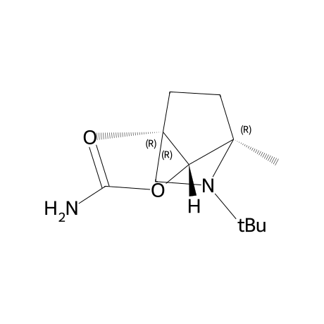 CC(C)(C)N1C[C@@]2(C)CC[C@]1(C)[C@@H]2OC(N)=O